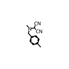 Cc1ccc(CN(C)C(C#N)C#N)cc1